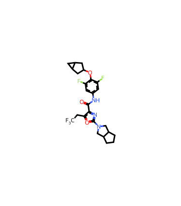 O=C(Nc1cc(F)c(OC2CC3CC3C2)c(F)c1)c1nc(N2CC3CCCC3C2)oc1CC(F)(F)F